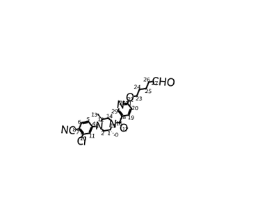 C[C@@H]1CN(c2ccc(C#N)c(Cl)c2)[C@@H](C)CN1C(=O)c1ccc(OCCCCC=O)nc1